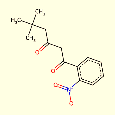 CC(C)(C)CC(=O)CC(=O)c1ccccc1[N+](=O)[O-]